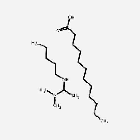 CCCCCCCCCCCC(=O)O.CCCCCNC(C)N(C)C